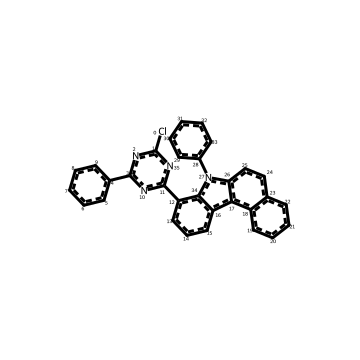 Clc1nc(-c2ccccc2)nc(-c2cccc3c4c5ccccc5ccc4n(-c4ccccc4)c23)n1